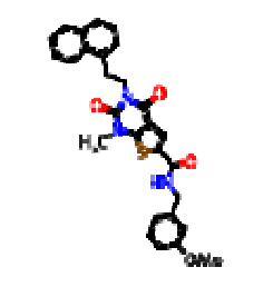 COc1cccc(CNC(=O)c2cc3c(=O)n(CCc4cccc5ccccc45)c(=O)n(C)c3s2)c1